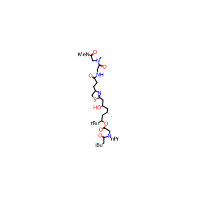 CCCN(CC(=O)OC(C[C@@H](C)CC(O)CC1=NC(CCC(=O)NCC(=O)N(C)CC(=O)NC)CS1)C(C)(C)C)C(=O)CC(C)CC